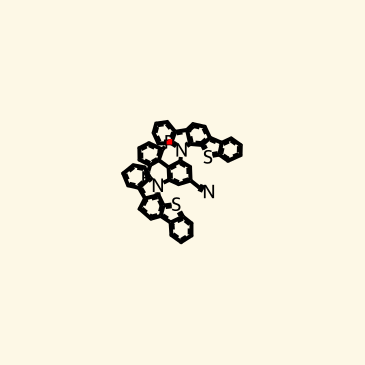 N#Cc1cc(-n2c3ccccc3c3ccc4c5ccccc5sc4c32)c(-c2c(F)cccc2F)c(-n2c3ccccc3c3ccc4c5ccccc5sc4c32)c1